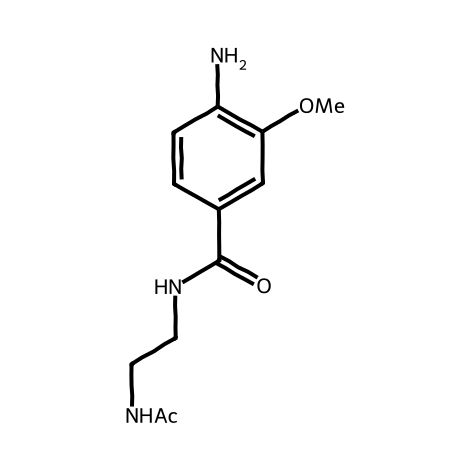 COc1cc(C(=O)NCCNC(C)=O)ccc1N